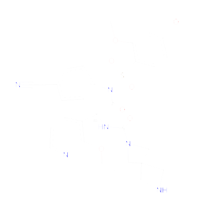 CCOc1ncccc1[C@]1(NC(=O)N2CC3(CNC3)C2)C(=O)N(S(=O)(=O)c2ccc(OC)cc2OC)c2ccc(C#N)cc21